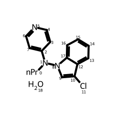 CCCN(c1ccncc1)n1cc(Cl)c2ccccc21.O